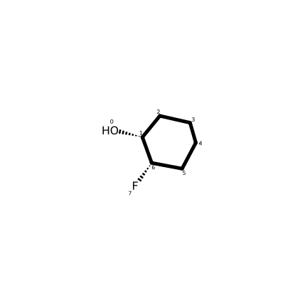 O[C@@H]1CCCC[C@@H]1F